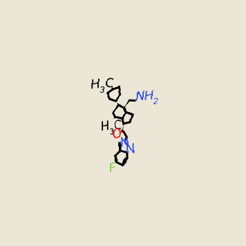 C[C@]12CCC([C@H]3CC[C@H](C)CC3)[C@@H](CCN)C1CC[C@@H]2C(=O)Cn1cc2cc(F)ccc2n1